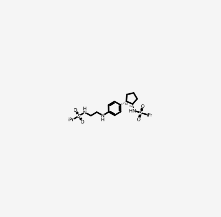 CC(C)S(=O)(=O)NCCNc1ccc([C@@H]2CCC[C@@H]2NS(=O)(=O)C(C)C)cc1